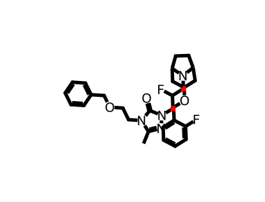 Cc1nn(CC(F)CN2C3CCC2CC(OCc2ccccc2F)C3)c(=O)n1CCOCc1ccccc1